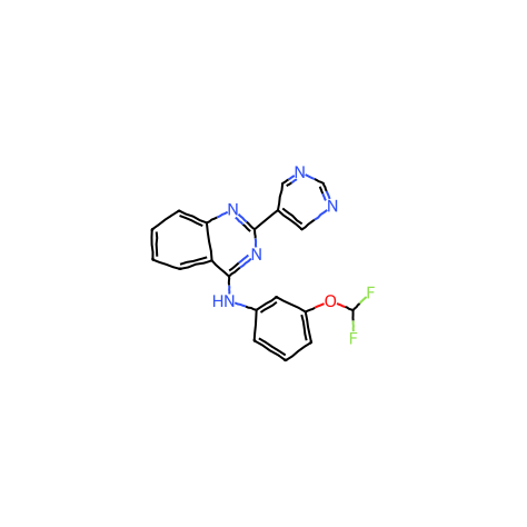 FC(F)Oc1cccc(Nc2nc(-c3cncnc3)nc3ccccc23)c1